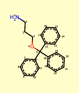 NCCCOC(c1ccccc1)(c1ccccc1)c1ccccc1